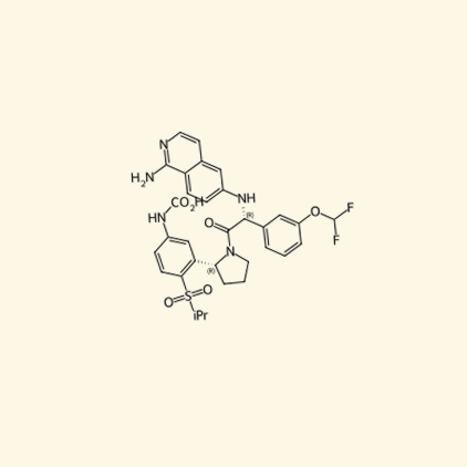 CC(C)S(=O)(=O)c1ccc(NC(=O)O)cc1[C@H]1CCCN1C(=O)[C@H](Nc1ccc2c(N)nccc2c1)c1cccc(OC(F)F)c1